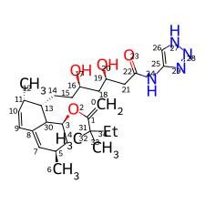 C=C(O[C@H]1C[C@@H](C)C=C2C=C[C@H](C)[C@H](CC[C@@H](O)C[C@@H](O)CC(=O)Nc3c[nH]nn3)C21)C(C)(C)CC